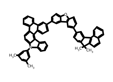 Cc1cc(C)cc(-n2c3ccccc3c3c4c(ccc32)c2ccccc2c2cc(-c3ccc5oc6ccc(-c7ccc8c(c7)-c7c(ccc9ccccc79)C8(C)C)cc6c5c3)ccc24)c1